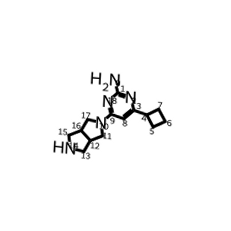 Nc1nc(C2CCC2)cc(N2CC3CNCC3C2)n1